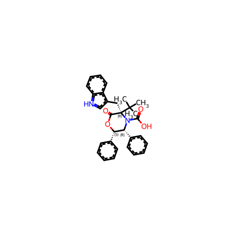 CC(C)(C)[C@]1(Cc2c[nH]c3ccccc23)C(=O)O[C@@H](c2ccccc2)[C@@H](c2ccccc2)N1C(=O)O